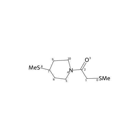 CSCC(=O)N1CCC(SC)CC1